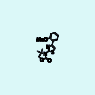 COc1ccccc1-c1csc(N2C(=O)OCC2(C)C)n1